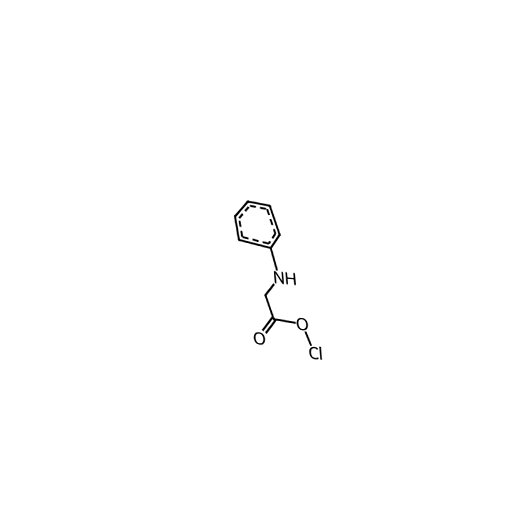 O=C(CNc1ccccc1)OCl